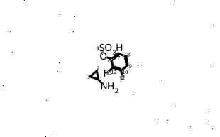 NC1CC1.O=S(=O)(O)Oc1cccc(F)c1F